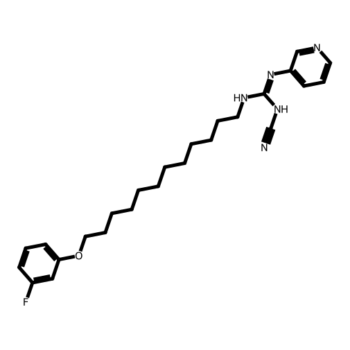 N#CN/C(=N\c1cccnc1)NCCCCCCCCCCCCOc1cccc(F)c1